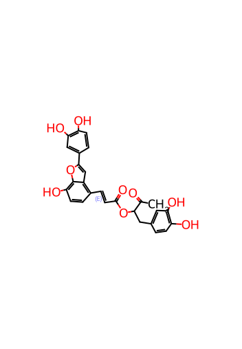 CC(=O)C(Cc1ccc(O)c(O)c1)OC(=O)/C=C/c1ccc(O)c2oc(-c3ccc(O)c(O)c3)cc12